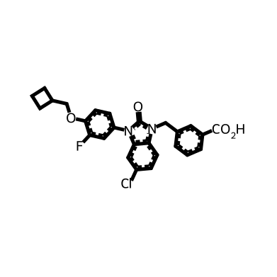 O=C(O)c1cccc(Cn2c(=O)n(-c3ccc(OCC4CCC4)c(F)c3)c3cc(Cl)ccc32)c1